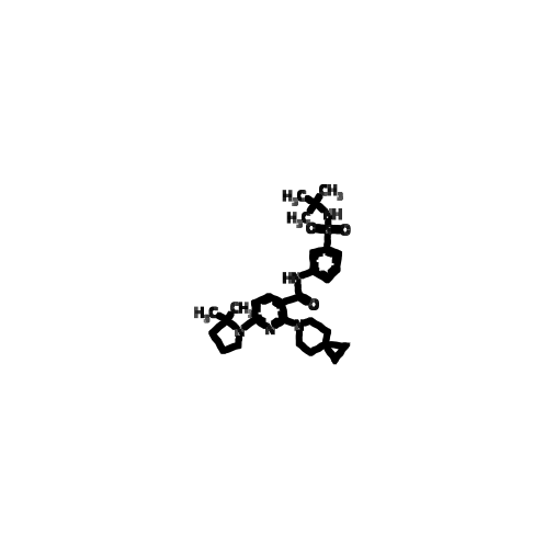 CC(C)(C)NS(=O)(=O)c1cccc(NC(=O)c2ccc(N3CCCC3(C)C)nc2N2CCC3(CC2)CC3)c1